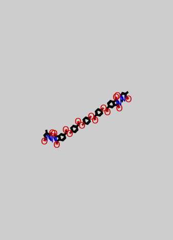 CC1=CC(=O)N(CN2C(=O)c3ccc(C(=O)Oc4ccc(C(=O)Oc5ccc(OC(=O)c6ccc(OC(=O)c7ccc8c(c7)C(=O)N(CN7C(=O)C=C(C)C7=O)C8=O)cc6)cc5)cc4)cc3C2=O)C1=O